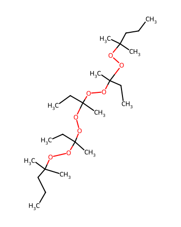 CCCC(C)(C)OOC(C)(CC)OOC(C)(CC)OOC(C)(CC)OOC(C)(C)CCC